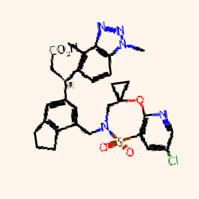 Cc1c([C@H](CC(=O)O)c2cc3c(c(CN4CC5(CC5)Oc5ncc(Cl)cc5S4(=O)=O)c2)CCC3)ccc2c1nnn2C